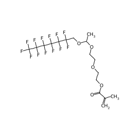 C=C(C)C(=O)OCCOCCOC(C)OCC(F)(F)C(F)(F)C(F)(F)C(F)(F)C(F)(F)C(F)(F)F